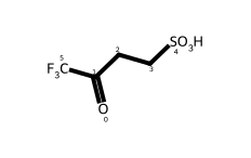 O=C(CCS(=O)(=O)O)C(F)(F)F